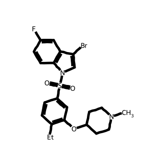 CCc1ccc(S(=O)(=O)n2cc(Br)c3cc(F)ccc32)cc1OC1CCN(C)CC1